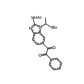 CC(=O)Nc1nc2ccc(C(=O)C(=O)c3ccccc3)cc2n1C(C)C(C)(C)C